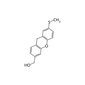 CSc1ccc2c(c1)Cc1ccc(CO)cc1O2